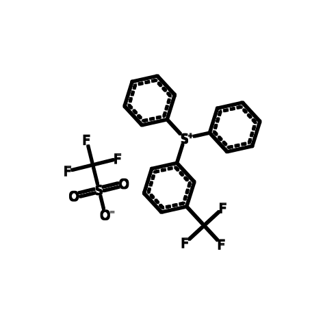 FC(F)(F)c1cccc([S+](c2ccccc2)c2ccccc2)c1.O=S(=O)([O-])C(F)(F)F